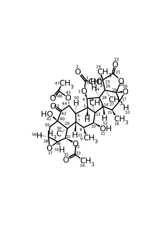 CC(=O)O[C@@H]1[C@H]2[C@H]3[C@H]([C@H](C)[C@H](O)[C@]2(C)[C@H]2[C@H](C)[C@@H]4O[C@@]45OC(=O)[C@@](C)(O)[C@]5(C)[C@H]12)[C@@]1(C)[C@@H](OC(C)=O)[C@H]2O[C@H]2C[C@]1(O)C(=O)[C@@H]3OC(C)=O